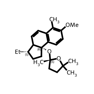 CC[C@H]1CC[C@]2(O[C@@]3(C)CCC(C)(C)O3)c3ccc(OC)c(C)c3C=CC12